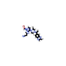 C/C=C(\C1=NC(CC#N)CN1NC=O)N1C[C@@H](C)N(C(C)c2ccc3ncc(C)nc3c2)CC1C